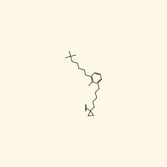 Cc1c(CCCCCC(C)(C)C)cccc1CCCCCC1(I)CC1